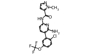 Cn1nccc1C(=O)Nc1ccc(-c2cc(OC(F)(F)F)ccc2Cl)c(N)n1